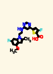 COc1cc(F)cc2c1cc(C)n2CCNc1cc(-c2cc(F)c(C(=O)O)s2)ncn1